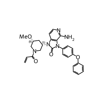 C=CC(=O)N1C[C@H](OC)C[C@H](n2c(=O)n(-c3ccc(Oc4ccccc4)cc3)c3c(N)nccc32)C1